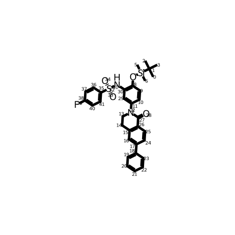 CC(C)(C)[Si](C)(C)Oc1ccc(N2CCc3cc(-c4ccccc4)ccc3C2=O)cc1NS(=O)(=O)c1ccc(F)cc1